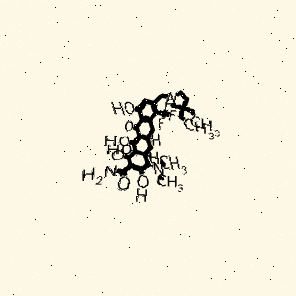 CCC1(CC)CCN(Cc2cc(O)c3c(c2C(F)(F)F)C[C@H]2C[C@H]4[C@H](N(C)C)C(O)=C(C(N)=O)C(=O)[C@@]4(O)C(O)=C2C3=O)C1